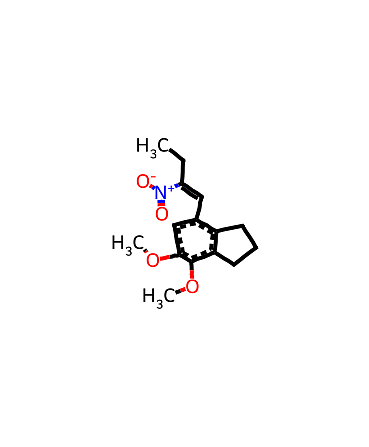 CCC(=Cc1cc(OC)c(OC)c2c1CCC2)[N+](=O)[O-]